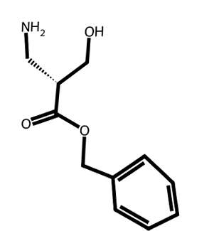 NC[C@H](CO)C(=O)OCc1ccccc1